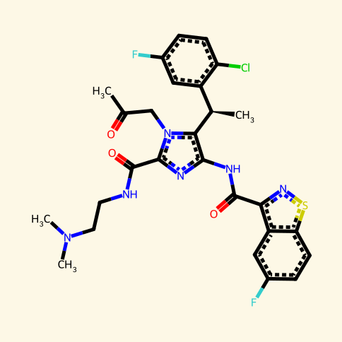 CC(=O)Cn1c(C(=O)NCCN(C)C)nc(NC(=O)c2nsc3ccc(F)cc23)c1[C@H](C)c1cc(F)ccc1Cl